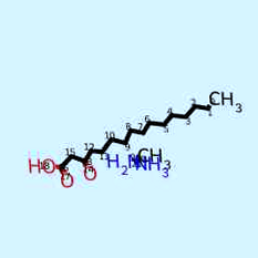 CCCCCCCCCCCCCC(=O)CC(=O)O.CN.N